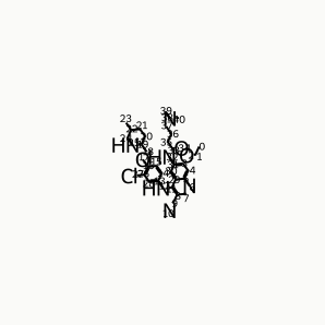 CCOc1cc2ncc(C#N)c(Nc3ccc(OCC4CCC(C)CN4)c(Cl)c3)c2cc1NC(=O)CCCN(C)C